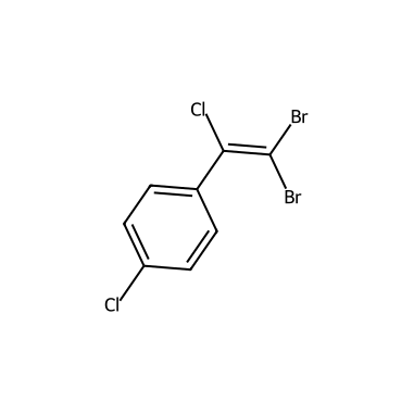 ClC(=C(Br)Br)c1ccc(Cl)cc1